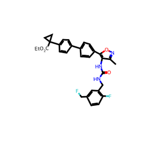 CCOC(=O)C1(c2ccc(-c3ccc(-c4onc(C)c4NC(=O)NCc4cc(CF)ccc4F)cc3)cc2)CC1